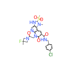 CN1c2c(cnc3c2cc(C(=O)NCc2ccc(Cl)cc2)c(=O)n3CC(=O)N2CC(C)(F)C2)NC1S(C)(=O)=O